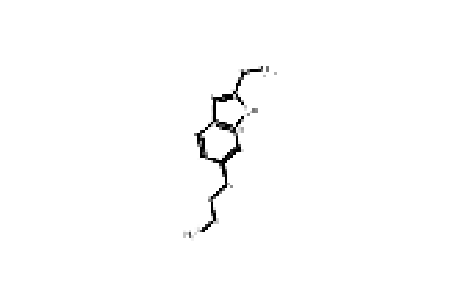 CCCCc1ccc2cc(CC)sc2c1